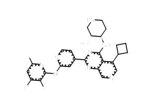 O[C@@H]1CNCC[C@H]1Nc1nc(-c2ccnc(Nc3nc(F)cc(F)c3F)c2)nc2cncc(C3CCC3)c12